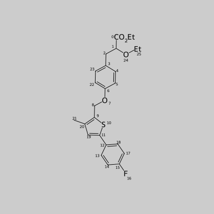 CCOC(=O)C(Cc1ccc(OCc2sc(-c3ccc(F)cc3)cc2C)cc1)OCC